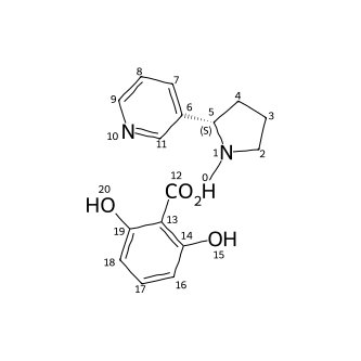 CN1CCC[C@H]1c1cccnc1.O=C(O)c1c(O)cccc1O